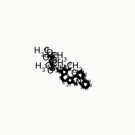 C=CC1CC(/C=C\C2CC(C=C)C(Cn3c4ccccc4c4ccccc43)C2)C(CNC(=O)C(C)(C)CC(C)(Br)C(=O)OC)C1